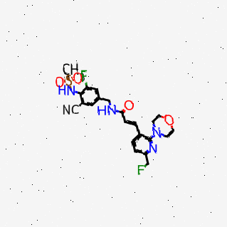 CS(=O)(=O)Nc1c(F)cc(CNC(=O)/C=C/c2ccc(CF)nc2N2CCOCC2)cc1C#N